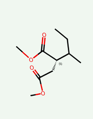 CCC(C)[C@H](CC(=O)OC)C(=O)OC